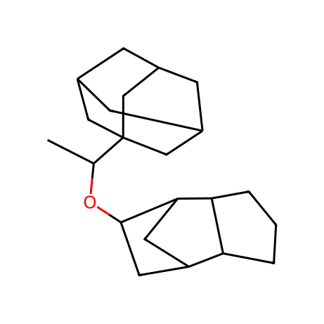 CC(OC1CC2CC1C1CCCC21)C12CC3CC(CC(C3)C1)C2